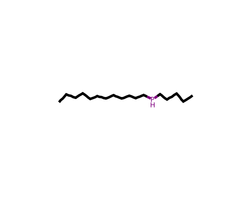 CCCCCCCCCCCCPCCCCC